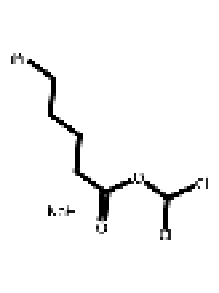 CC(C)CCCCC(=O)OC(Cl)Cl.[NaH]